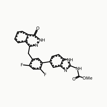 COC(=O)Nc1nc2cc(-c3cc(Cc4n[nH]c(=O)c5ccccc45)c(F)cc3F)ccc2[nH]1